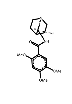 COc1cc(OC)c(C(=O)N[C@@H]2CN3CCC2CC3)cc1OC